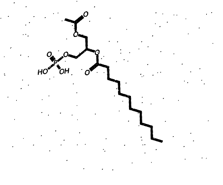 CCCCCCCCCCCC(=O)OC(COC(C)=O)COP(=O)(O)O